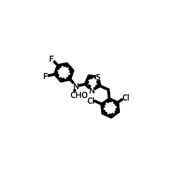 O=CN(c1ccc(F)c(F)c1)c1csc(Cc2c(Cl)cccc2Cl)n1